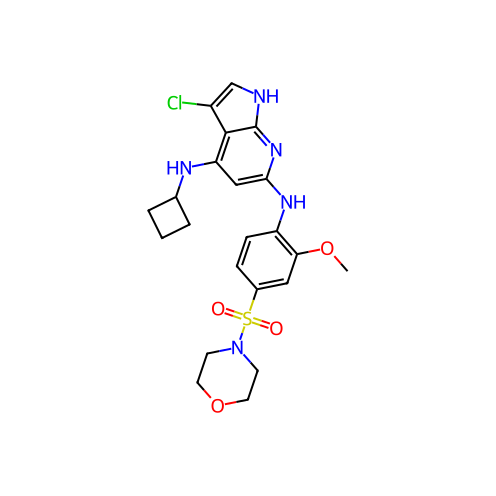 COc1cc(S(=O)(=O)N2CCOCC2)ccc1Nc1cc(NC2CCC2)c2c(Cl)c[nH]c2n1